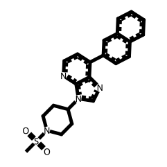 CS(=O)(=O)N1CCC(n2cnc3c(-c4ccc5ccccc5c4)ccnc32)CC1